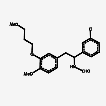 COCCCOc1cc(CC(NC=O)c2cccc(Cl)c2)ccc1OC